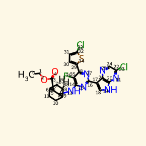 CCOC(=O)[C@@H]1C2CCC(CC2)[C@H]1Nc1nc(-c2c[nH]c3nc(Cl)cnc23)nc(-c2ccc(Cl)s2)c1F